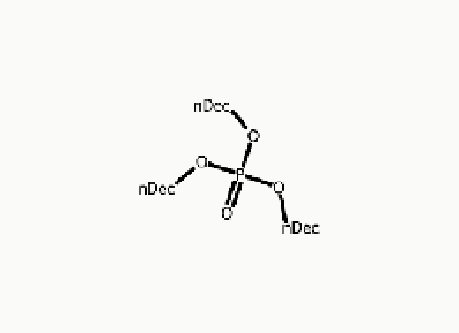 CCCCCCCCCCOP(=O)(OCCCCCCCCCC)OCCCCCCCCCC